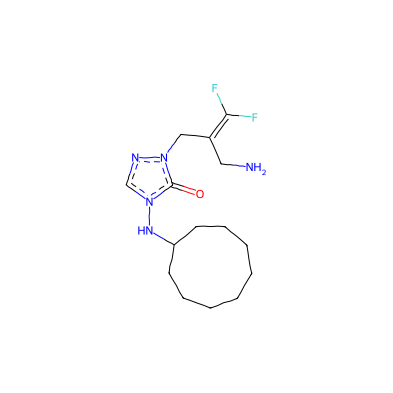 NCC(Cn1ncn(NC2CCCCCCCC2)c1=O)=C(F)F